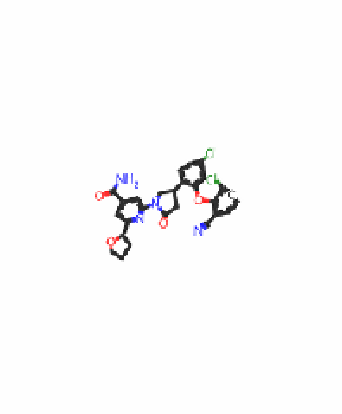 N#Cc1cccc(Cl)c1Oc1cc(Cl)ccc1C1CC(=O)N(c2cc(C(N)=O)cc(C3CCCO3)n2)C1